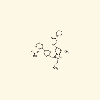 CCCc1nc2c(C)cc(NCC(=O)N3CCCC3)cc2n1Cc1ccc(-c2ccccc2OC(=O)O)cc1